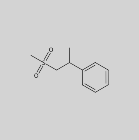 CC(CS(C)(=O)=O)c1ccccc1